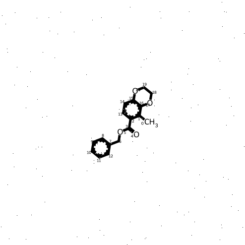 Cc1c(C(=O)OCc2ccccc2)ccc2c1OCCO2